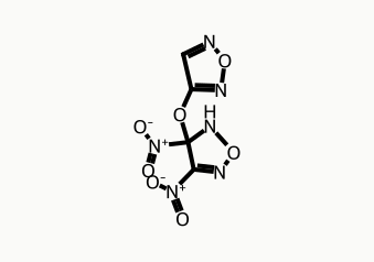 O=[N+]([O-])C1=NONC1(Oc1cnon1)[N+](=O)[O-]